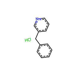 Cl.c1ccc(Cc2cccnc2)cc1